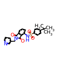 CC(C)(C)c1ccc(S(=O)(=O)Nc2cccc3c2C(=O)N(Cc2cccnc2)C3=O)cc1